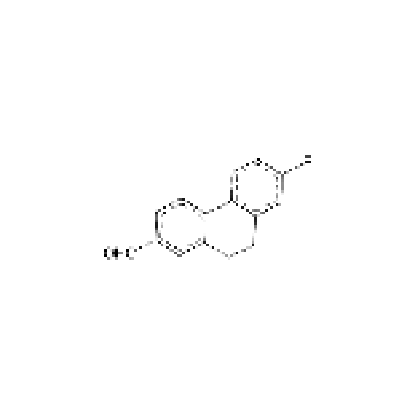 O=Cc1ccc2c(c1)CCc1cc(F)ccc1-2